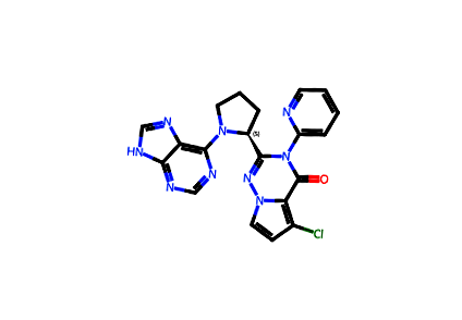 O=c1c2c(Cl)ccn2nc([C@@H]2CCCN2c2ncnc3[nH]cnc23)n1-c1ccccn1